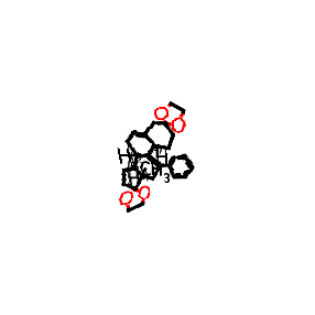 C[C@]12CC(c3ccccc3)=C3[C@H]4CCC5(CC4=CC[C@H]3[C@@H]1CCC21OCCO1)OCCO5